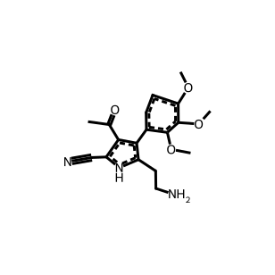 COc1ccc(-c2c(CCN)[nH]c(C#N)c2C(C)=O)c(OC)c1OC